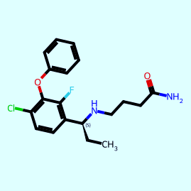 CC[C@H](NCCCC(N)=O)c1ccc(Cl)c(Oc2ccccc2)c1F